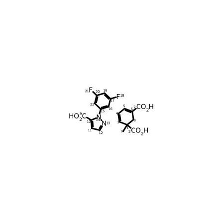 CC1(C(=O)O)C=CC=C(C(=O)O)C1.O=C(O)c1ccnn1-c1cc(F)cc(F)c1